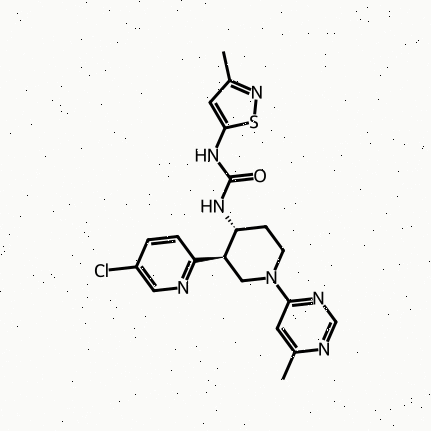 Cc1cc(N2CC[C@@H](NC(=O)Nc3cc(C)ns3)[C@H](c3ccc(Cl)cn3)C2)ncn1